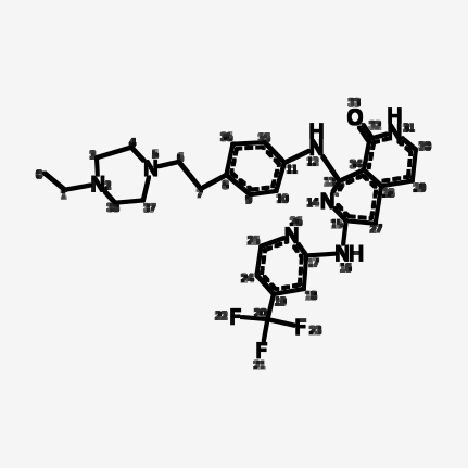 CCN1CCN(CCc2ccc(Nc3nc(Nc4cc(C(F)(F)F)ccn4)cc4cc[nH]c(=O)c34)cc2)CC1